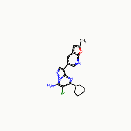 Cc1cc2cc(-c3cnn4c(N)c(Br)c(C5CCCCC5)nc34)cnc2o1